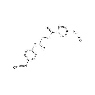 O=C=Nc1ccc(OC(=O)COC(=O)c2ccc(N=C=O)cc2)cc1